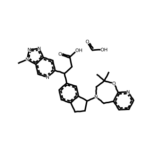 Cn1nnc2cc(C(CC(=O)O)c3ccc4c(c3)C(N3Cc5cccnc5OC(C)(C)C3)CC4)ncc21.O=CO